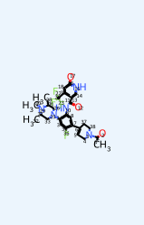 CC(=O)N1CC=C(c2cc(NC(=O)c3c[nH]c(=O)cc3C(F)(F)F)c(N3CC(C)N(C)C(C)C3)cc2F)CC1